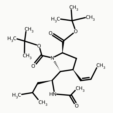 C/C=C\[C@@H]1C[C@H](C(=O)OC(C)(C)C)N(C(=O)OC(C)(C)C)[C@H]1[C@H](CC(C)C)NC(C)=O